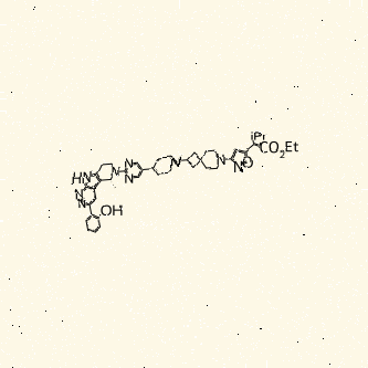 CCOC(=O)C(c1cc(N2CCC3(CC2)CC(N2CCC(c4cnc(N5CCc6[nH]c7nnc(-c8ccccc8O)cc7c6[C@H]5C)nc4)CC2)C3)no1)C(C)C